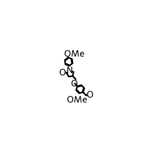 COC(=O)c1ccc(OCC2CC(=O)N(c3ccc(OC)cc3)C2)cc1